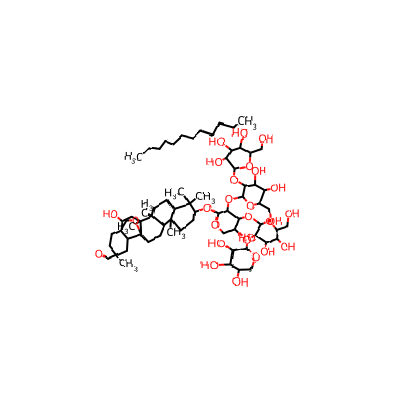 CC1(C=O)CCC23COC4(CCC5C6(C)CCC(OC7OCC(OC8OCC(O)C(O)C8O)C(OC8OC(CO)C(O)C(O)C8O)C7OC7OC(CO)C(O)C(O)C7OC7OC(CO)C(O)C(O)C7O)C(C)(C)C6CCC5(C)C4(C)CC2O)C3C1.CCCCCCCCCCCC